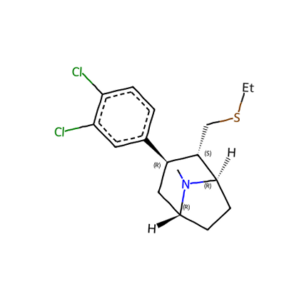 CCSC[C@@H]1[C@H]2CC[C@H](C[C@H]1c1ccc(Cl)c(Cl)c1)N2C